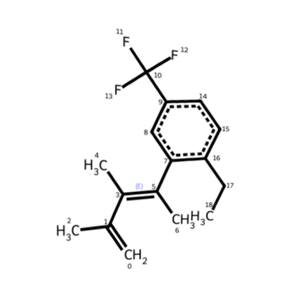 C=C(C)/C(C)=C(\C)c1cc(C(F)(F)F)ccc1CC